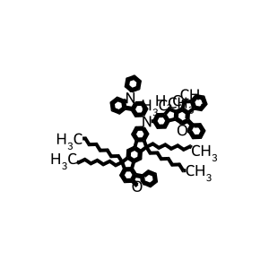 CCCCCCCCC1(CCCCCCCC)c2cc(N(c3ccc4c(c3)C(C)(C)c3c5c(c6c(oc7ccccc76)c3-4)-c3ccccc3C5(C)C)c3ccc4c(c3)c3ccccc3n4-c3ccccc3)ccc2-c2cc3c(cc21)-c1c(ccc2oc4ccccc4c12)C3(CCCCCCCC)CCCCCCCC